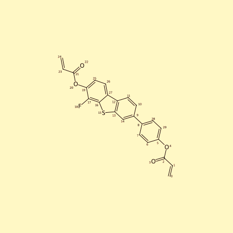 C=CC(=O)Oc1ccc(-c2ccc3c(c2)sc2c(F)c(OC(=O)C=C)ccc23)cc1